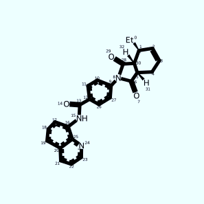 CC[C@H]1C=CC[C@@H]2C(=O)N(c3ccc(C(=O)Nc4cccc5cccnc45)cc3)C(=O)[C@H]12